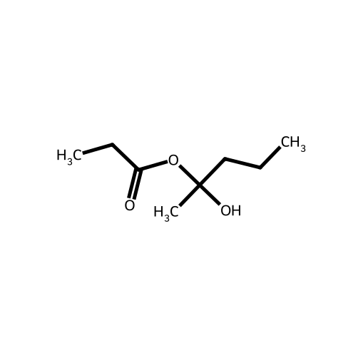 CCCC(C)(O)OC(=O)CC